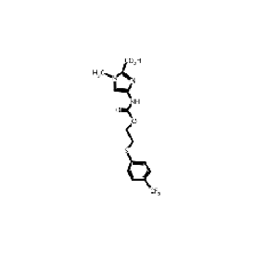 Cn1cc(NC(=O)OCCSc2ccc(C(F)(F)F)cc2)nc1C(=O)O